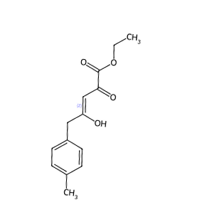 CCOC(=O)C(=O)/C=C(\O)Cc1ccc(C)cc1